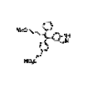 COCCCCC(=C(c1ccc(C=CC(=O)O)cc1)c1ccc2[nH]ncc2c1)c1ccccc1